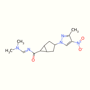 Cc1nn(C2CC3C(C2)C3C(=O)/N=C/N(C)C)cc1[N+](=O)[O-]